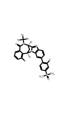 [2H]C([2H])([2H])N1C(=O)c2cccc(F)c2[C@H]2C[C@@H]1c1nc3ccc(-c4ccc(P(C)(C)=O)cc4F)cc3n12